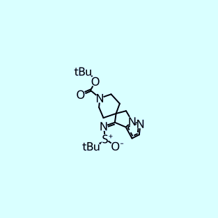 CC(C)(C)OC(=O)N1CCC2(CC1)Cn1nccc1/C2=N\[S@@+]([O-])C(C)(C)C